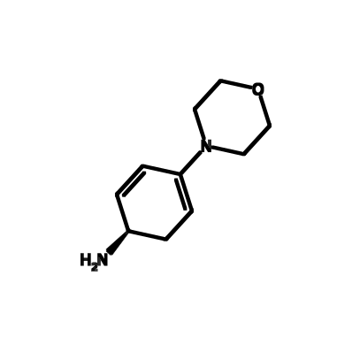 N[C@H]1C=CC(N2CCOCC2)=CC1